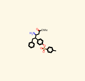 COC(=O)CC(N)C(Cc1ccccc1)c1ccc(OS(=O)(=O)c2ccc(C)cc2)cc1